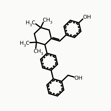 CC1(C)CC(=Cc2ccc(O)cc2)C(c2ccc(-c3ccccc3CO)cc2)C(C)(C)C1